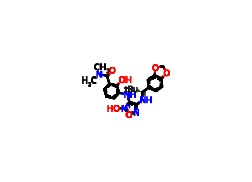 CN(C)C(=O)c1cccc(Nc2c(N[C@@H](c3ccc4c(c3)OCO4)C(C)(C)C)no[n+]2O)c1O